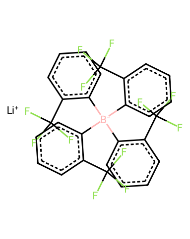 FC(F)(F)c1ccccc1[B-](c1ccccc1C(F)(F)F)(c1ccccc1C(F)(F)F)c1ccccc1C(F)(F)F.[Li+]